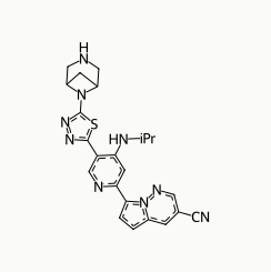 CC(C)Nc1cc(-c2ccc3cc(C#N)cnn23)ncc1-c1nnc(N2C3CNCC2C3)s1